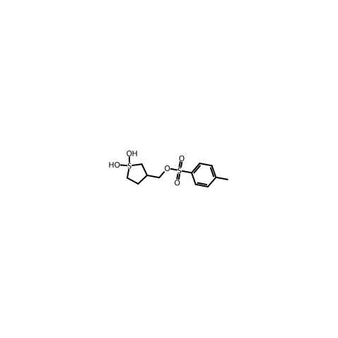 Cc1ccc(S(=O)(=O)OCC2CCS(O)(O)C2)cc1